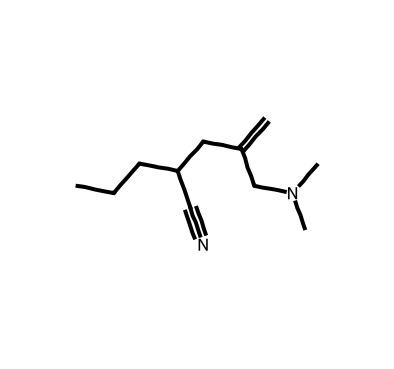 C=C(CC(C#N)CCC)CN(C)C